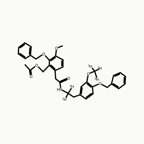 [2H]C([2H])(Cc1ccc(OCc2ccccc2)c(OC([2H])([2H])[2H])c1)NC(=O)Cc1ccc(OC)c(OCc2ccccc2)c1COC(C)=O